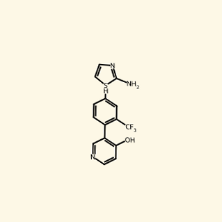 NC1=NC=C[SH]1c1ccc(-c2cnccc2O)c(C(F)(F)F)c1